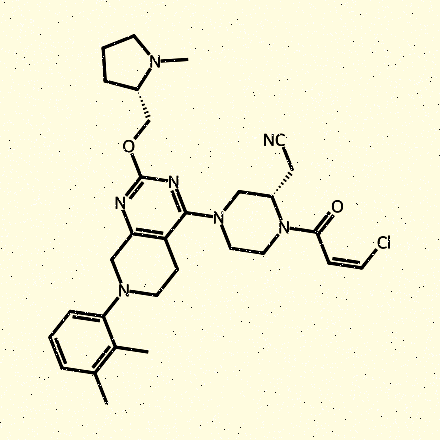 Cc1cccc(N2CCc3c(nc(OC[C@@H]4CCCN4C)nc3N3CCN(C(=O)/C=C\Cl)[C@@H](CC#N)C3)C2)c1C